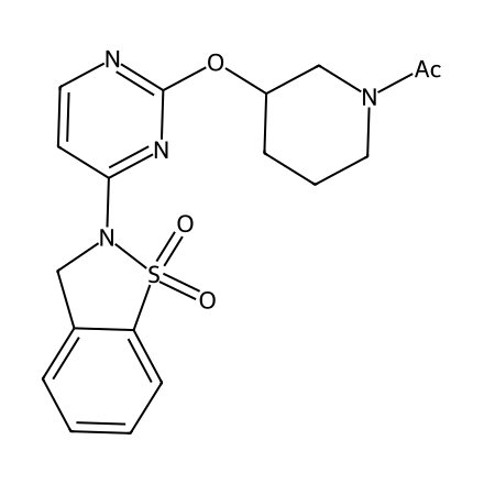 CC(=O)N1CCCC(Oc2nccc(N3Cc4ccccc4S3(=O)=O)n2)C1